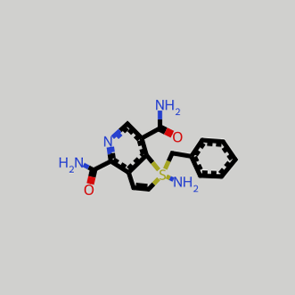 NC(=O)c1cnc(C(N)=O)c2c1S(N)(Cc1ccccc1)C=C2